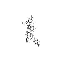 C=C(Nc1ccc(F)cc1)c1cc(-c2cccn3c(-c4ccc(F)cc4C)nnc23)ccc1C